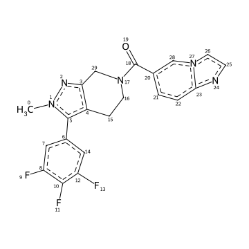 Cn1nc2c(c1-c1cc(F)c(F)c(F)c1)CCN(C(=O)c1ccc3nccn3c1)C2